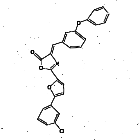 O=C1OC(c2ccc(-c3cccc(Cl)c3)o2)=NC1=Cc1cccc(Oc2ccccc2)c1